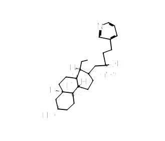 CCC[C@@](O)(CCc1cccnc1)[C@H]1CC[C@H]2[C@@H]3CC[C@H]4C[C@@H](O)CC[C@]4(C)[C@H]3CC[C@]12C